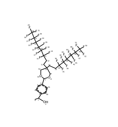 CC(O)c1ccc(C2OCC(CCC(F)(F)C(F)(F)C(F)(F)C(F)(F)C(F)(F)C(F)(F)F)(CCC(F)(F)C(F)(F)C(F)(F)C(F)(F)C(F)(F)C(F)(F)F)CO2)cc1